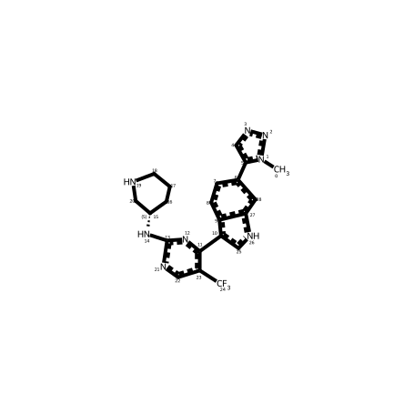 Cn1nncc1-c1ccc2c(-c3nc(N[C@H]4CCCNC4)ncc3C(F)(F)F)c[nH]c2c1